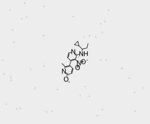 CCC(Nc1nccc(-c2ccc(OC)nc2C)c1[N+](=O)[O-])C1CC1